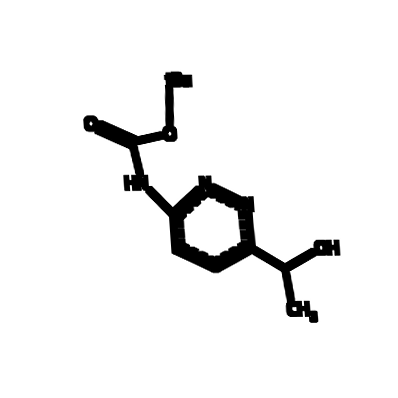 CC(O)c1ccc(NC(=O)OC(C)(C)C)nn1